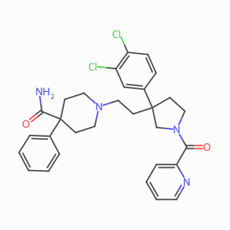 NC(=O)C1(c2ccccc2)CCN(CCC2(c3ccc(Cl)c(Cl)c3)CCN(C(=O)c3ccccn3)C2)CC1